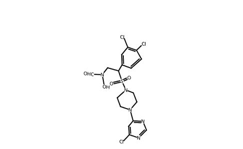 O=CN(O)CC(c1ccc(Cl)c(Cl)c1)S(=O)(=O)N1CCN(c2cc(Cl)ncn2)CC1